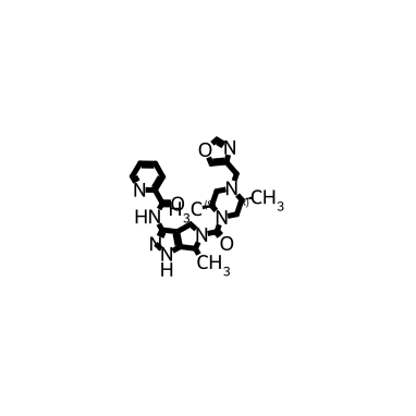 CC1c2[nH]nc(NC(=O)c3ccccn3)c2CN1C(=O)N1C[C@@H](C)N(Cc2cocn2)C[C@@H]1C